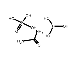 NC(N)=O.O=P(O)(O)O.OP(O)O